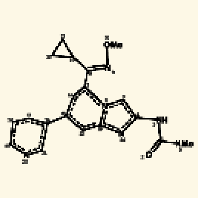 CNC(=O)Nc1cn2c(C(=NOC)C3CC3)cc(-c3cccnc3)cc2n1